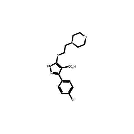 CC(C)c1ccc(-c2n[nH]c(OCCN3CCOCC3)c2C(=O)O)cc1